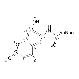 CCCCCCCCCC(=O)Nc1cc2c(C)cc(=O)oc2cc1O